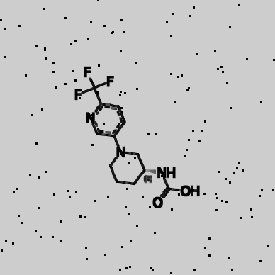 O=C(O)N[C@@H]1CCCN(c2ccc(C(F)(F)F)nc2)C1